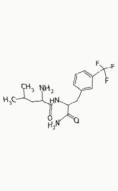 CC(C)CC(N)C(=O)NC(Cc1cccc(C(F)(F)F)c1)C(N)=O